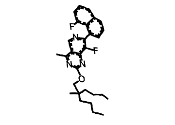 CCCCC(C)(CCCC)COc1nc(C)c2cnc(-c3cccc4cccc(F)c34)c(F)c2n1